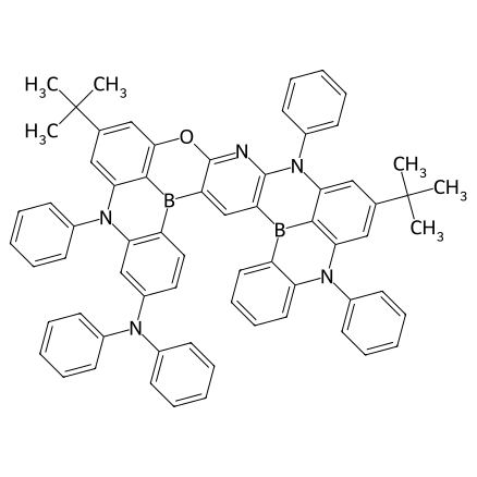 CC(C)(C)c1cc2c3c(c1)N(c1ccccc1)c1cc(N(c4ccccc4)c4ccccc4)ccc1B3c1cc3c(nc1O2)N(c1ccccc1)c1cc(C(C)(C)C)cc2c1B3c1ccccc1N2c1ccccc1